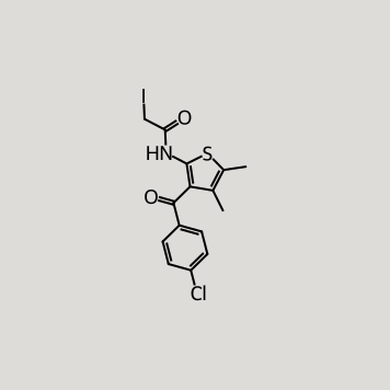 Cc1sc(NC(=O)CI)c(C(=O)c2ccc(Cl)cc2)c1C